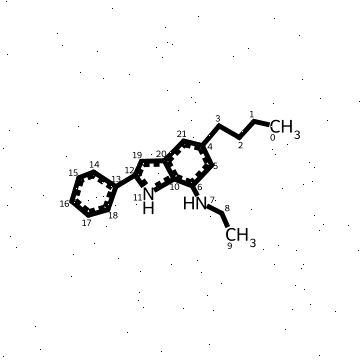 CCCCc1cc(NCC)c2[nH]c(-c3ccccc3)cc2c1